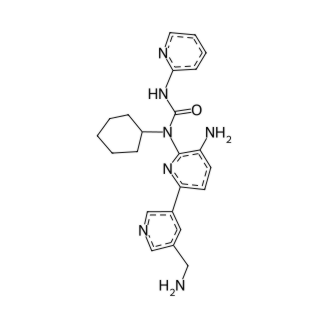 NCc1cncc(-c2ccc(N)c(N(C(=O)Nc3ccccn3)C3CCCCC3)n2)c1